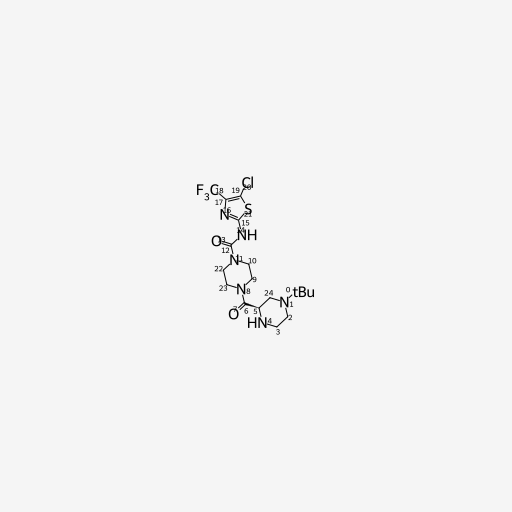 CC(C)(C)N1CCN[C@@H](C(=O)N2CCN(C(=O)Nc3nc(C(F)(F)F)c(Cl)s3)CC2)C1